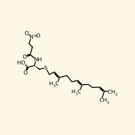 CC(C)=CCC/C(C)=C/CC/C(C)=C/CSC[C@H](NC(=O)CC[N+](=O)[O-])C(=O)O